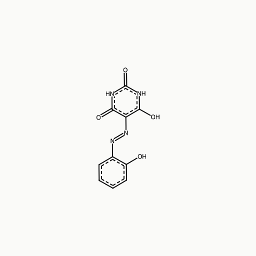 O=c1[nH]c(O)c(N=Nc2ccccc2O)c(=O)[nH]1